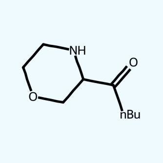 [CH2]CCCC(=O)C1COCCN1